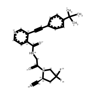 CC(C)(C)c1ccc(C#Cc2cnccc2C(=O)NCC(=O)N2CC(F)(F)C[C@H]2C#N)cc1